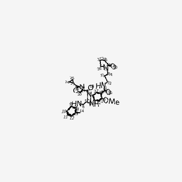 COc1cc(NCCNc2ccccc2C)c(NC(=O)c2coc(C3CC3)n2)cc1C(=O)NCCCN1CCCC1=O